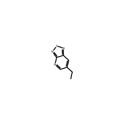 CCc1cnc2nsnc2c1